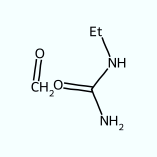 C=O.CCNC(N)=O